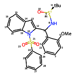 COc1ccccc1C(N[S@@+]([O-])C(C)(C)C)c1cc2ccccc2n1S(=O)(=O)c1ccccc1